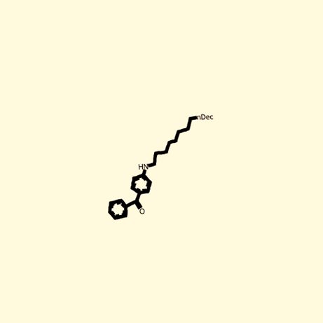 CCCCCCCCCCCCCCCCCCNc1ccc(C(=O)c2ccccc2)cc1